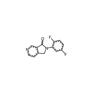 O=C1c2cnccc2CN1c1cc(F)ccc1F